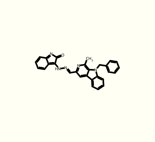 Cc1nc(C=NNC2=c3ccccc3=NC2=O)cc2c3ccccc3n(Cc3ccccc3)c12